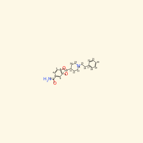 NC(=O)c1ccc2c(c1)OC(C1CCN(CCc3ccccc3)CC1)O2